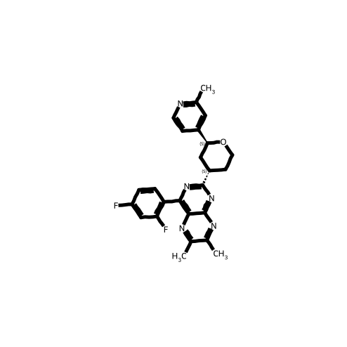 Cc1cc([C@@H]2C[C@@H](c3nc(-c4ccc(F)cc4F)c4nc(C)c(C)nc4n3)CCO2)ccn1